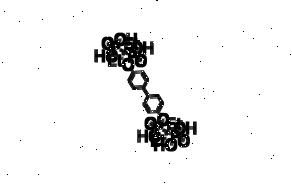 CCC(CC)(P(=O)(O)O)P(=O)(O)Oc1ccc(-c2ccc(OP(=O)(O)C(CC)(CC)P(=O)(O)O)cc2)cc1